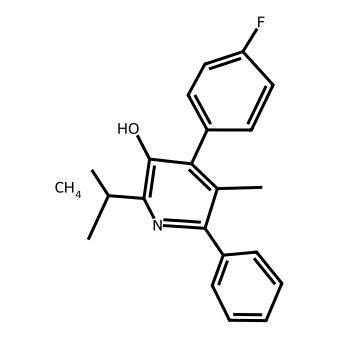 C.Cc1c(-c2ccccc2)nc(C(C)C)c(O)c1-c1ccc(F)cc1